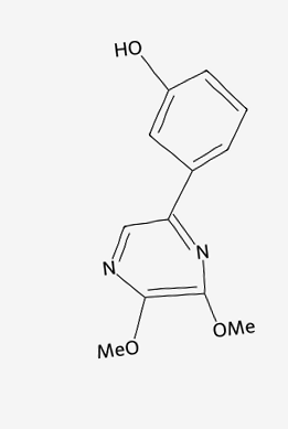 COc1ncc(-c2cccc(O)c2)nc1OC